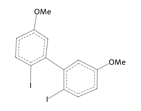 COc1ccc(I)c(-c2cc(OC)ccc2I)c1